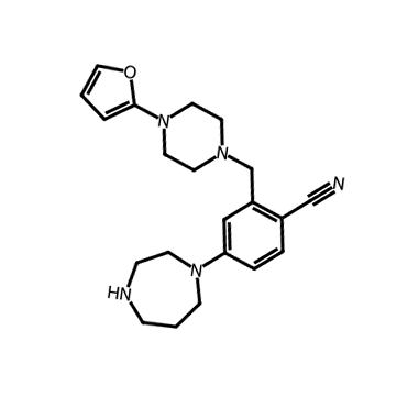 N#Cc1ccc(N2CCCNCC2)cc1CN1CCN(c2ccco2)CC1